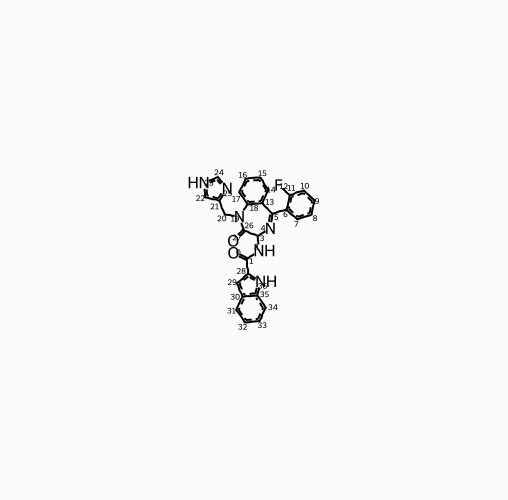 O=C(NC1N=C(c2ccccc2F)c2ccccc2N(Cc2c[nH]cn2)C1=O)c1cc2ccccc2[nH]1